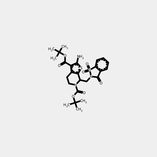 CC(C)(C)OC(=O)c1c(N)sc2c1CCN(C(=O)OC(C)(C)C)C2CN1C(=O)c2ccccc2S1(=O)=O